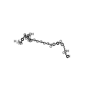 Cc1ncsc1-c1ccc(CNC(=O)[C@@H]2C[C@@H](O)CN2C(=O)[C@@H](NC(=O)CCOCCOCCOCCOCCOCCC(=O)N2CCC(c3ccc(C(=O)N4CCC(CCCCNC(=O)/C=C/c5cccnc5)CC4)cc3)CC2)C(C)(C)C)cc1